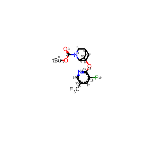 CC(C)(C)OC(=O)N1CC2CCC1C(Oc1ncc(C(F)(F)F)cc1F)C2